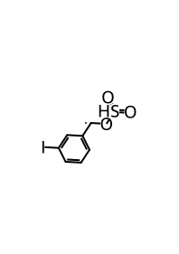 O=[SH](=O)O[CH]c1cccc(I)c1